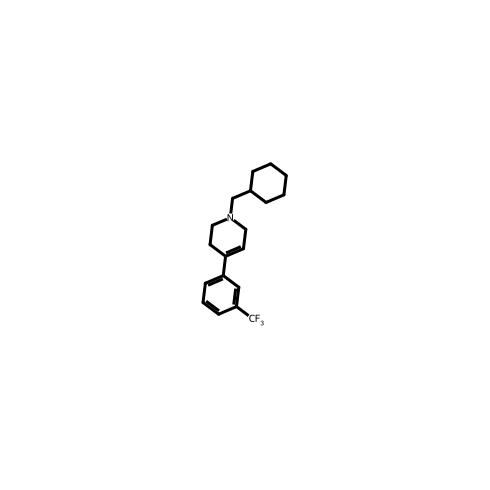 FC(F)(F)c1cccc(C2=CCN(CC3CCCCC3)CC2)c1